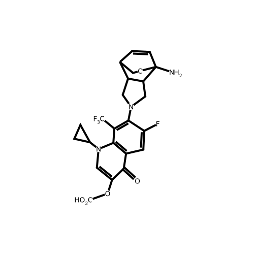 NC12C=CC(CC1)C1CN(c3c(F)cc4c(=O)c(OC(=O)O)cn(C5CC5)c4c3C(F)(F)F)CC12